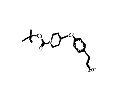 CC(C)(C)OC(=O)N1CCC(Oc2ccc(CCBr)cc2)CC1